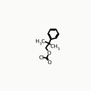 CC(C)(COC(=O)Cl)c1ccccc1